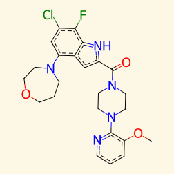 COc1cccnc1N1CCN(C(=O)c2cc3c(N4CCCOCC4)cc(Cl)c(F)c3[nH]2)CC1